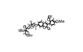 COc1ccc(-c2cc3ccc(OCC(C)(COC(=O)C(C)(CC(C)(C)C)C(C)(C)C)C(F)(F)F)cc3oc2=O)c(OC(F)(F)F)c1